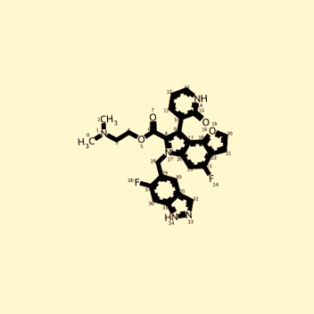 CN(C)CCOC(=O)c1c(-c2ccc[nH]c2=O)c2c3occc3c(F)cc2n1Cc1cc2cn[nH]c2cc1F